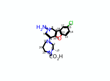 C[C@H]1CN(C2=CN(N)Cc3c2oc2ccc(Cl)cc32)CCCN1C(=O)O